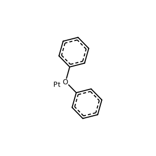 [Pt].c1ccc(Oc2ccccc2)cc1